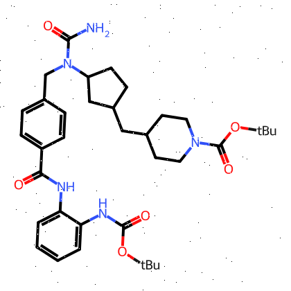 CC(C)(C)OC(=O)Nc1ccccc1NC(=O)c1ccc(CN(C(N)=O)C2CCC(CC3CCN(C(=O)OC(C)(C)C)CC3)C2)cc1